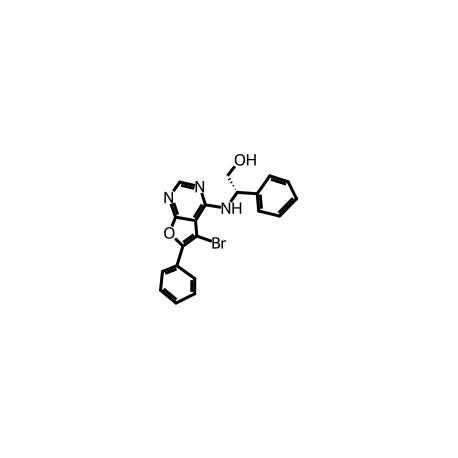 OC[C@@H](Nc1ncnc2oc(-c3ccccc3)c(Br)c12)c1ccccc1